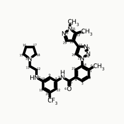 Cc1ccc(C(=O)Nc2cc(NCCN3CCCC3)cc(C(F)(F)F)c2)cc1-n1cc(-c2cnn(C)c2C)nn1